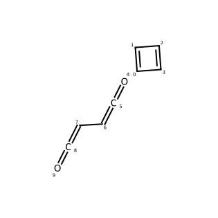 C1=CC=C1.O=C=CC=C=O